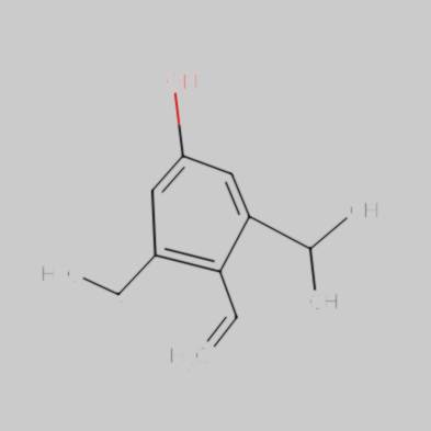 C=Cc1c(CC)cc(O)cc1C(C)C